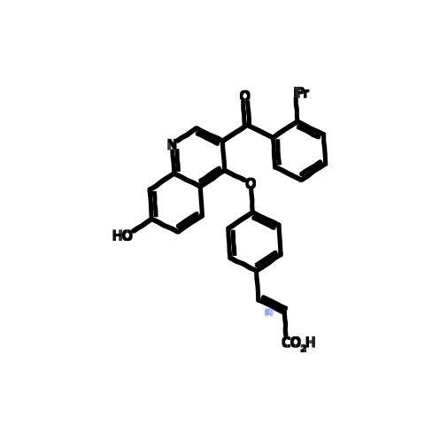 CC(C)c1ccccc1C(=O)c1cnc2cc(O)ccc2c1Oc1ccc(/C=C/C(=O)O)cc1